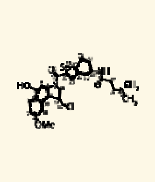 COc1ccc2c(O)cc3c(c2c1)C(CCl)CN3C(=O)c1cc2cc(NC(=O)CCN(C)C)ccc2[se]1